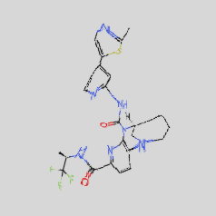 Cc1ncc(-c2ccnc(NC(=O)N3c4nc(C(=O)N[C@H](C)C(F)(F)F)ccc4N4CCC[C@H]3C4)c2)s1